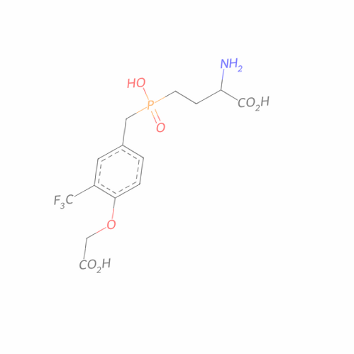 NC(CCP(=O)(O)Cc1ccc(OCC(=O)O)c(C(F)(F)F)c1)C(=O)O